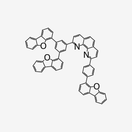 c1ccc2c(c1)oc1c(-c3ccc(-c4ccc5ccc6ccc(-c7cc(-c8cccc9c8oc8ccccc89)cc(-c8cccc9c8oc8ccccc89)c7)nc6c5n4)cc3)cccc12